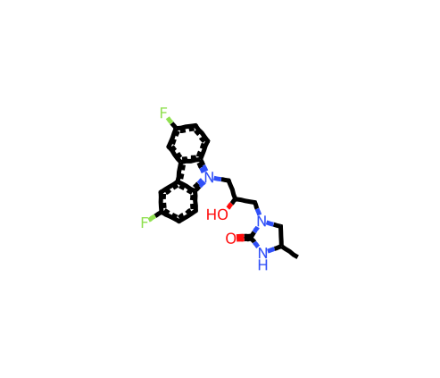 CC1CN(CC(O)Cn2c3ccc(F)cc3c3cc(F)ccc32)C(=O)N1